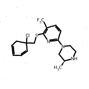 C[C@H]1CN(c2ccc(C(F)(F)F)c(SCC3(Cl)C=CC=CC3)n2)CCN1